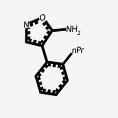 CCCc1ccccc1-c1cnoc1N